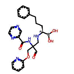 O=CC(CN[C@@H](CCCc1ccccc1)B(O)O)(COc1ccccn1)NC(=O)c1cnccn1